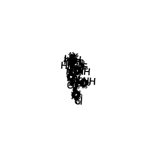 C[C@H]1[C@@H](NC(=Nc2ccc3c(=O)n(CCc4ccc(Cl)cc4)c(C4CCCNC4)nc3c2)N2CCN[C@@H](C(F)F)C2)C[C@@H]2C[C@@H]1C2(C)C